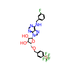 O[C@@H]1[C@H](O)[C@@H](COCc2ccc(S(F)(F)(F)(F)F)cc2)O[C@H]1n1cnc2c(NCc3cccc(F)c3)ncnc21